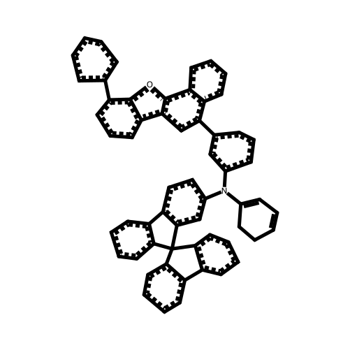 C1=CCCC(N(c2cccc(-c3cc4c5cccc(-c6ccccc6)c5oc4c4ccccc34)c2)c2ccc3c(c2)C2(c4ccccc4-c4ccccc42)c2ccccc2-3)=C1